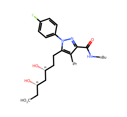 CCCCNC(=O)c1nn(-c2ccc(F)cc2)c(CC[C@@H](O)C[C@@H](O)CC(=O)O)c1C(C)C